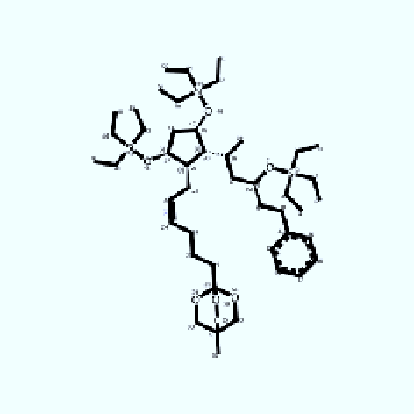 CC[Si](CC)(CC)O[C@@H](CCc1ccccc1)CC(C)[C@@H]1[C@@H](C/C=C\CCCC23OCC(C)(CO2)CO3)[C@@H](O[Si](CC)(CC)CC)C[C@H]1O[Si](CC)(CC)CC